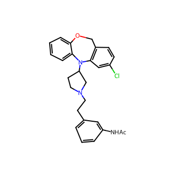 CC(=O)Nc1cccc(CCN2CCC(N3c4cc(Cl)ccc4COc4ccccc43)C2)c1